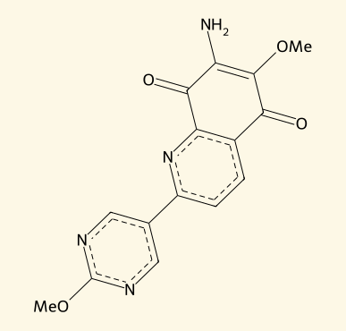 COC1=C(N)C(=O)c2nc(-c3cnc(OC)nc3)ccc2C1=O